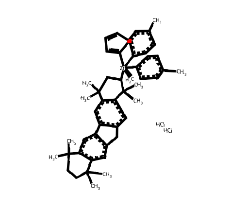 Cl.Cl.[CH2]=[Zr]([C]1=CC=CC1)([c]1ccc(C)cc1)([c]1ccc(C)cc1)[CH]1CC(C)(C)c2cc3c(cc2C1(C)C)Cc1cc2c(cc1-3)C(C)(C)CCC2(C)C